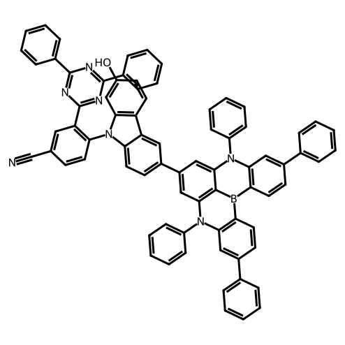 N#Cc1ccc(-n2c3ccc(-c4cc5c6c(c4)N(c4ccccc4)c4cc(-c7ccccc7)ccc4B6c4ccc(-c6ccccc6)cc4N5c4ccccc4)cc3c3ccc(O)cc32)c(-c2nc(-c3ccccc3)nc(-c3ccccc3)n2)c1